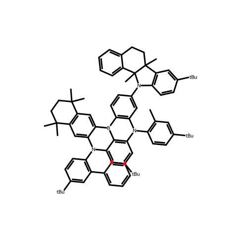 Cc1cc(C(C)(C)C)ccc1N1c2cc(N3c4ccc(C(C)(C)C)cc4C4(C)CCc5ccccc5C34C)ccc2B2c3cc4c(cc3N(c3ccc(C(C)(C)C)cc3-c3ccccc3)c3cc(C(C)(C)C)cc1c32)C(C)(C)CCC4(C)C